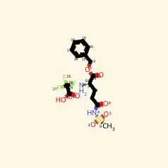 CS(=O)(=O)NC(=O)CC[C@H](N)C(=O)OCc1ccccc1.O=C(O)C(F)(F)F